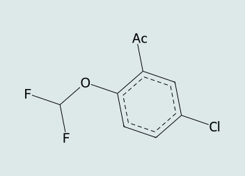 CC(=O)c1cc(Cl)ccc1OC(F)F